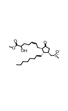 CCCCCC/C=C/[C@H]1[C@H](C[S+](C)[O-])CC(=O)[C@@H]1C/C=C\CCC(O)C(=O)OC